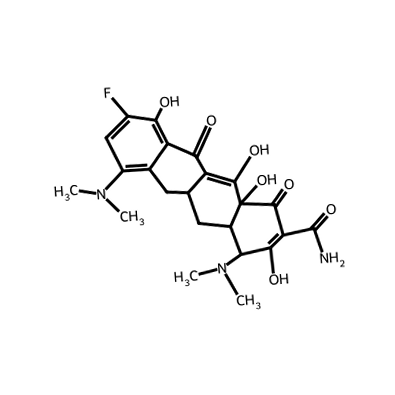 CN(C)c1cc(F)c(O)c2c1CC1CC3C(N(C)C)C(O)=C(C(N)=O)C(=O)C3(O)C(O)=C1C2=O